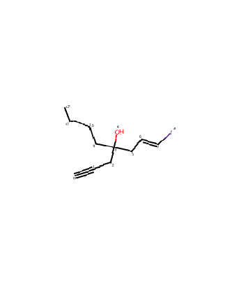 C#CCC(O)(CC=CI)CCCC